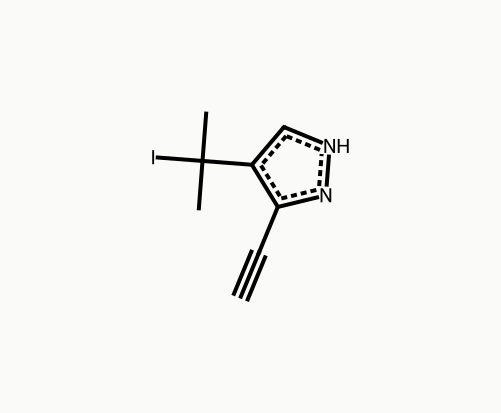 C#Cc1n[nH]cc1C(C)(C)I